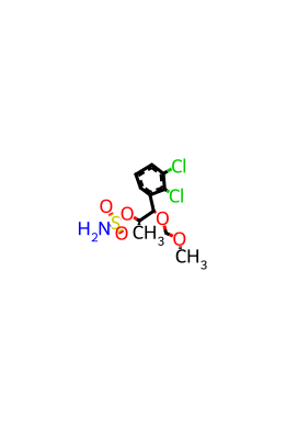 COCO[C@H](c1cccc(Cl)c1Cl)[C@@H](C)OS(N)(=O)=O